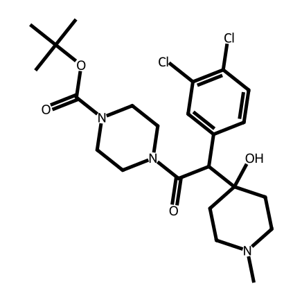 CN1CCC(O)(C(C(=O)N2CCN(C(=O)OC(C)(C)C)CC2)c2ccc(Cl)c(Cl)c2)CC1